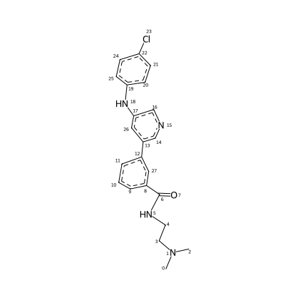 CN(C)CCNC(=O)c1cccc(-c2cncc(Nc3ccc(Cl)cc3)c2)c1